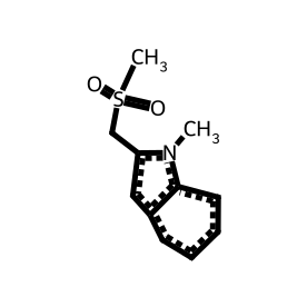 Cn1c(CS(C)(=O)=O)cc2ccccc21